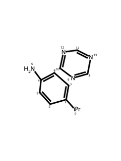 CC(C)c1ccc(N)cc1.c1ncncn1